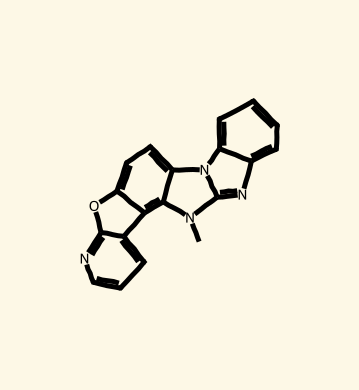 Cn1c2c3c(ccc2n2c4ccccc4nc12)oc1ncccc13